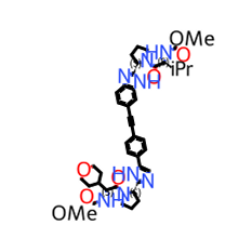 COC(=O)N[C@H](C(=O)N1CCC[C@H]1c1nc2ccc(C#Cc3ccc(-c4cnc([C@@H]5CCCN5C(=O)[C@@H](NC(=O)OC)C5CCOCC5)[nH]4)cc3)cc2[nH]1)C(C)C